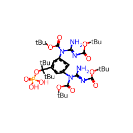 CC(C)(C)OC(=O)N=C(N)N(C(=O)OC(C)(C)C)c1cc(N(C(=O)OC(C)(C)C)C(N)=NC(=O)OC(C)(C)C)cc(C(OP(=O)(O)O)(C(C)(C)C)C(C)(C)C)c1